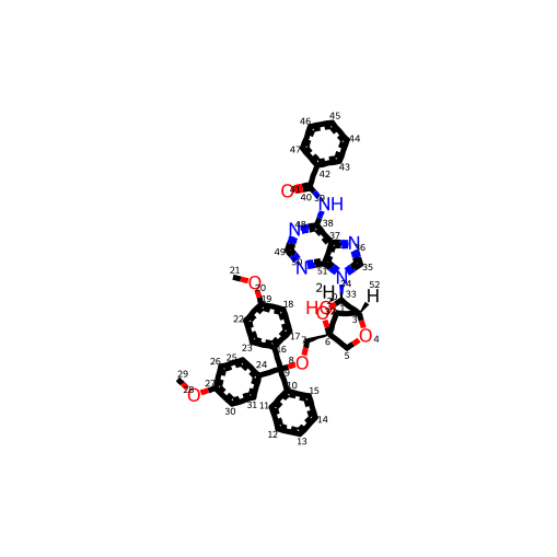 [2H][C@]1(O)[C@H]2OC[C@]1(COC(c1ccccc1)(c1ccc(OC)cc1)c1ccc(OC)cc1)O[C@H]2n1cnc2c(NC(=O)c3ccccc3)ncnc21